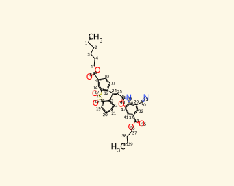 CCCCCCOC(=O)c1ccc2c(c1)S(=O)(=O)c1ccccc1C2=Cc1nc2c(C#N)cc(C(=O)OCCCC)cc2o1